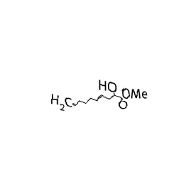 C=CCCCC=CCC(O)C(=O)OC